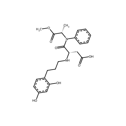 COC(=O)[C@H](C)N(C(=O)[C@H](CC(=O)O)NCCCc1ccc(O)cc1O)c1ccccc1